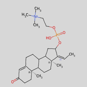 C/C=C1\C(OP(=O)(O)OCC[N+](C)(C)C)CC2C3CCC4=CC(=O)CC[C@]4(C)C3CC[C@]12C